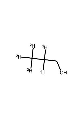 [2H]C([2H])([2H])C([2H])([2H])CO